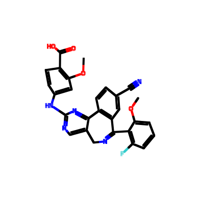 COc1cc(Nc2ncc3c(n2)-c2ccc(C#N)cc2C(c2c(F)cccc2OC)=NC3)ccc1C(=O)O